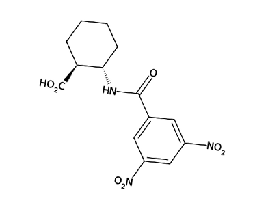 O=C(N[C@H]1CCCC[C@@H]1C(=O)O)c1cc([N+](=O)[O-])cc([N+](=O)[O-])c1